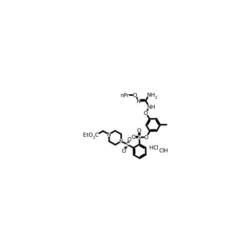 CCCON=C(N)NOc1cc(C)cc(OS(=O)(=O)c2ccccc2S(=O)(=O)N2CCN(CC(=O)OCC)CC2)c1.Cl.Cl